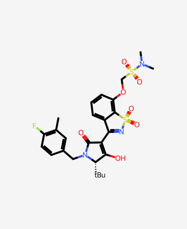 Cc1cc(CN2C(=O)C(C3=NS(=O)(=O)c4c(OCS(=O)(=O)N(C)C)cccc43)=C(O)[C@@H]2C(C)(C)C)ccc1F